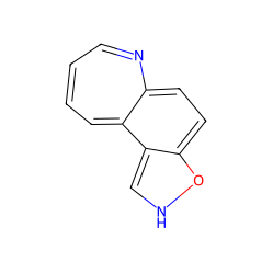 C1=CC=c2c(ccc3c2=CNO3)N=C1